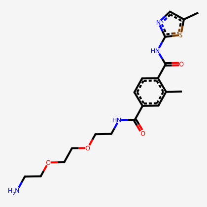 Cc1cnc(NC(=O)c2ccc(C(=O)NCCOCCOCCN)cc2C)s1